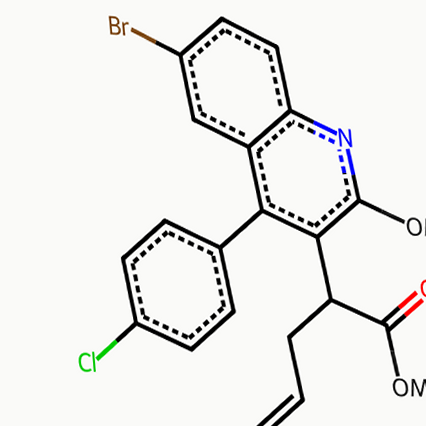 C=CCC(C(=O)OC)c1c(OC)nc2ccc(Br)cc2c1-c1ccc(Cl)cc1